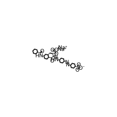 O=C(Nc1ccc2c(c1)C=C(S(=O)(=O)[O-])/C(=N/Nc1ccc(N=Nc3ccc(S(=O)(=O)[O-])cc3)cc1)C2=O)c1ccccc1.[Na+].[Na+]